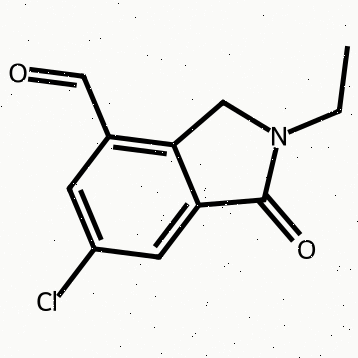 CCN1Cc2c(C=O)cc(Cl)cc2C1=O